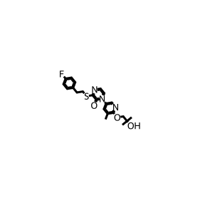 Cc1cc(-n2ccnc(SCCc3ccc(F)cc3)c2=O)cnc1OCC(C)(C)O